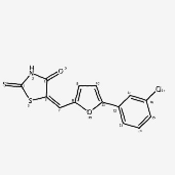 O=C1NC(=S)SC1=Cc1ccc(-c2cccc(Cl)c2)o1